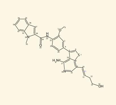 COc1cc(-c2csc3c(/C=C/CCO)cnc(N)c23)ccc1NC(=O)c1cc2ccccc2n1C